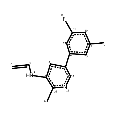 C=CNc1cc(-c2cc(C)cc(F)c2)cnc1C